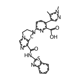 Cc1c(-c2ccc(N3CCn4cnc(C(=O)Nc5nc6ccccc6s5)c4C3)nc2C(=O)O)cnn1C